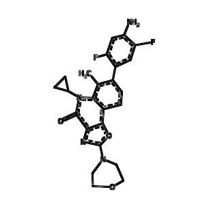 Cc1c(-c2cc(F)c(N)cc2F)ccc2c3oc(N4CCOCC4)nc3c(=O)n(C3CC3)c12